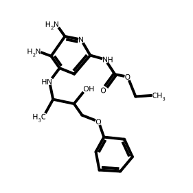 CCOC(=O)Nc1cc(NC(C)C(O)COc2ccccc2)c(N)c(N)n1